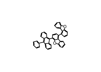 c1ccc(-c2c3ccccc3c(-c3ccc(-c4cccc5oc6ccccc6c45)c4c3oc3ccccc34)c3ccccc23)cc1